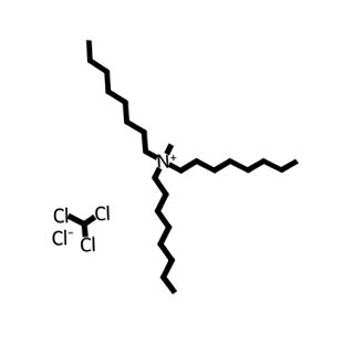 CCCCCCCC[N+](C)(CCCCCCCC)CCCCCCCC.ClC(Cl)Cl.[Cl-]